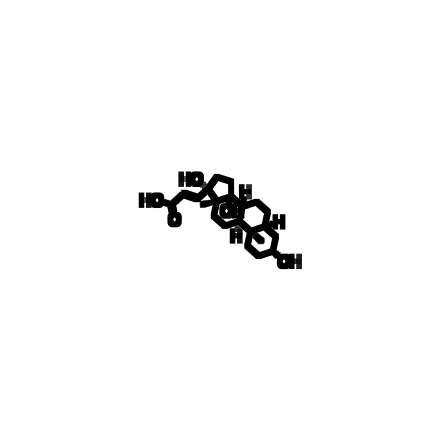 C[C@]12CC[C@H](O)C[C@H]1CC[C@@H]1[C@@H]2CC[C@]2(C)[C@@](O)(/C=C/C(=O)O)CC[C@]12O